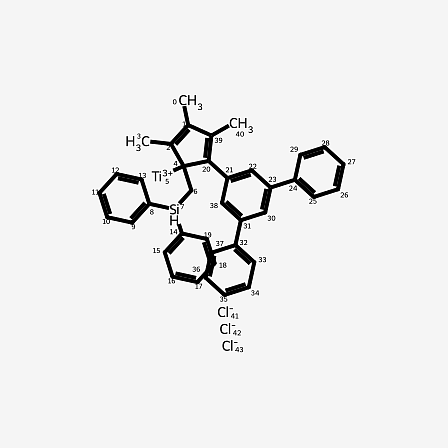 CC1=C(C)[C]([Ti+3])(C[SiH](c2ccccc2)c2ccccc2)C(c2cc(-c3ccccc3)cc(-c3ccccc3)c2)=C1C.[Cl-].[Cl-].[Cl-]